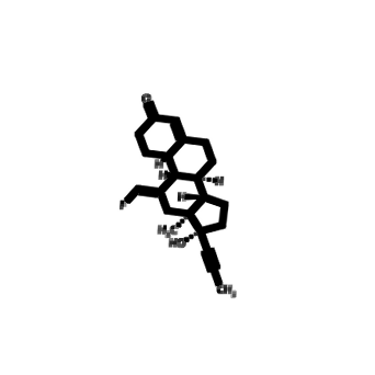 CC#C[C@]1(O)CC[C@H]2[C@@H]3CCC4=CC(=O)CC[C@@H]4[C@H]3/C(=C/F)C[C@@]21C